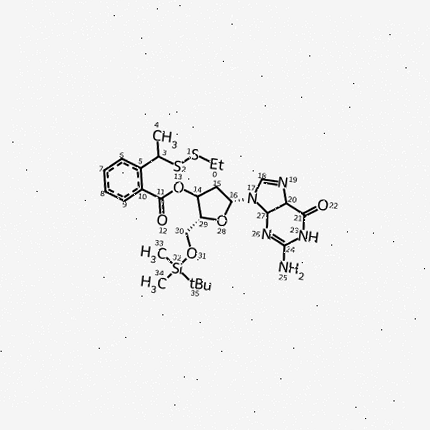 CCSSC(C)c1ccccc1C(=O)OC1C[C@H](N2C=NC3C(=O)NC(N)=NC32)O[C@@H]1CO[Si](C)(C)C(C)(C)C